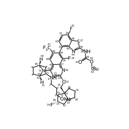 COCCCNC1C[C@H]2CC[C@@H]1N2c1nc(OC[C@@]23CCCN2C[C@H](F)C3)nc2c(F)c(-c3ccc(F)c4sc(NC(=O)OC(C)(C)C)nc34)c(C(F)(F)F)cc12